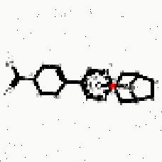 CCC(=O)[C@H]1CC=C(c2cnc(N3C4CCC3CN(C)C4)nc2)CC1